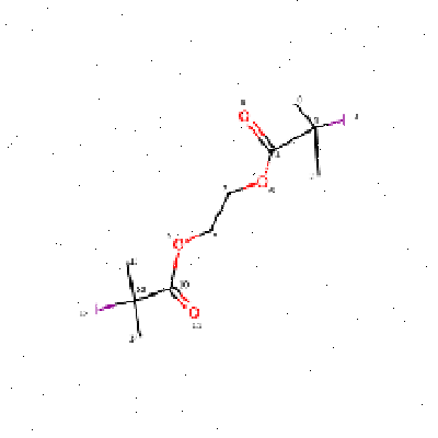 CC(C)(I)C(=O)OCCOC(=O)C(C)(C)I